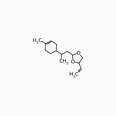 C=CC1COC(CC(C)C2CC=C(C)CC2)O1